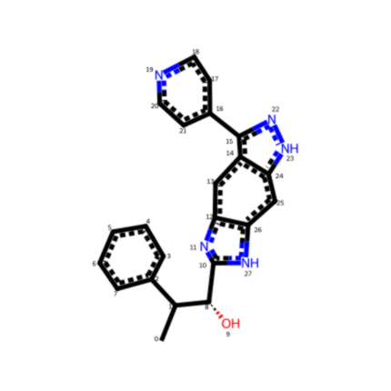 CC(c1ccccc1)[C@@H](O)c1nc2cc3c(-c4ccncc4)n[nH]c3cc2[nH]1